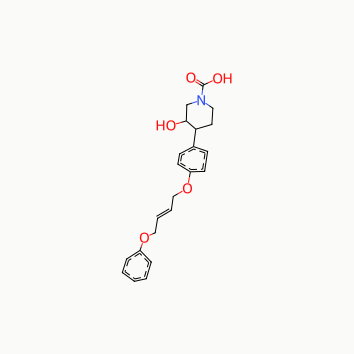 O=C(O)N1CCC(c2ccc(OCC=CCOc3ccccc3)cc2)C(O)C1